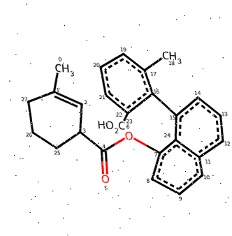 CC1=CC(C(=O)Oc2cccc3cccc(-c4c(C)cccc4C(=O)O)c23)CCC1